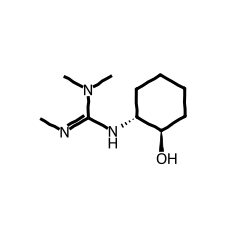 C/N=C(/N[C@@H]1CCCC[C@H]1O)N(C)C